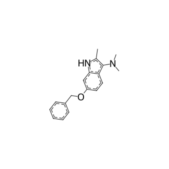 Cc1[nH]c2cc(OCc3ccccc3)ccc2c1N(C)C